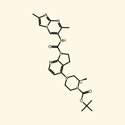 Cc1cn2cc(NC(=O)N3CCc4c(N5CCN(C(=O)OC(C)(C)C)[C@H](C)C5)ccnc43)c(C)nc2n1